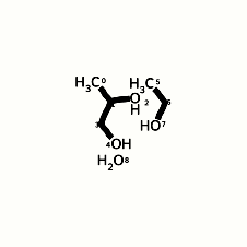 CC(O)CO.CCO.O